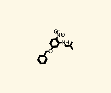 CC(C)CNc1cc(OCc2ccccc2)ccc1[N+](=O)[O-]